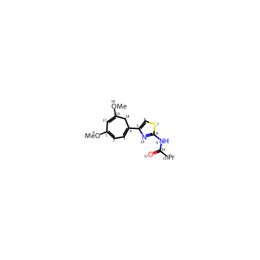 COC1=CC=C(c2csc(NC(=O)C(C)C)n2)CC(OC)=C1